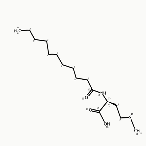 CCCCCCCCCCC(=O)N[C@@H](CCSC)C(=O)O